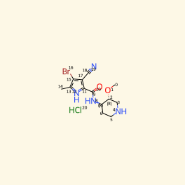 CO[C@@H]1CNCC[C@H]1NC(=O)c1[nH]c(C)c(Br)c1C#N.Cl